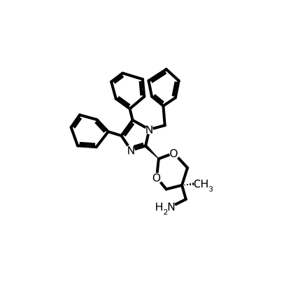 C[C@]1(CN)CO[C@@H](c2nc(-c3ccccc3)c(-c3ccccc3)n2Cc2ccccc2)OC1